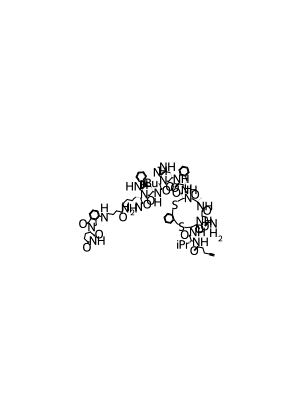 C#CCCC(=O)N[C@H](C(=O)N[C@@H]1CSCc2ccccc2CSC[C@H](C(=O)N[C@@H](Cc2ccccc2)C(=O)N[C@@H](Cc2cnc[nH]2)C(=O)NC(C(=O)N[C@@H](Cc2c[nH]c3ccccc23)C(=O)N[C@@H](CCCCNC(=O)CCCNc2cccc3c2CN(C2CCC(=O)NC2=O)C3=O)C(N)=O)[C@@H](C)CC)NC(=O)[C@H](C)NC(=O)C(CC(N)=O)NC1=O)C(C)C